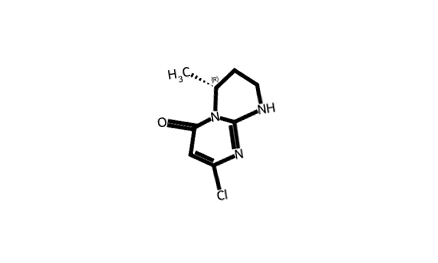 C[C@@H]1CCNc2nc(Cl)cc(=O)n21